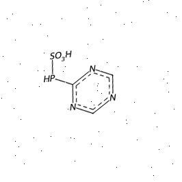 O=S(=O)(O)Pc1ncncn1